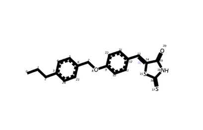 CCCc1ccc(COc2ccc(/C=C3\SC(=S)NC3=O)cc2)cc1